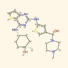 CN1CCN(C(O)c2csc(Nc3nc(N[C@H]4CC[C@](C)(O)CC4)c4sccc4n3)c2)CC1